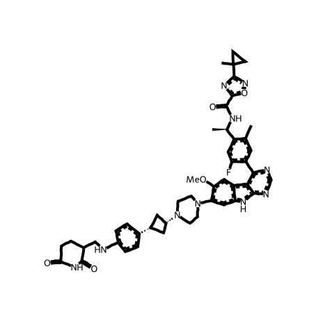 COc1cc2c(cc1N1CCN([C@H]3C[C@@H](c4ccc(NCC5CCC(=O)NC5=O)cc4)C3)CC1)[nH]c1ncnc(-c3cc(C)c([C@@H](C)NC(=O)c4nc(C5(C)CC5)no4)cc3F)c12